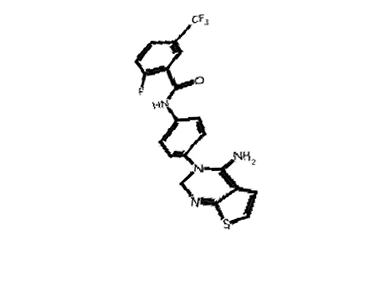 NC1=c2ccsc2=NCN1c1ccc(NC(=O)c2cc(C(F)(F)F)ccc2F)cc1